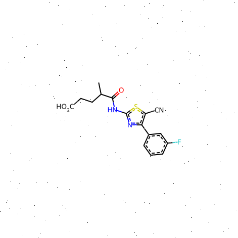 CC(CCC(=O)O)C(=O)Nc1nc(-c2cccc(F)c2)c(C#N)s1